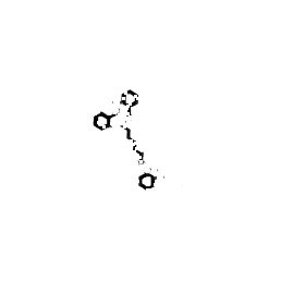 Nc1ccccc1NC(=O)CCCCCCN1C(=O)c2ccccc2NC1c1ccccc1F